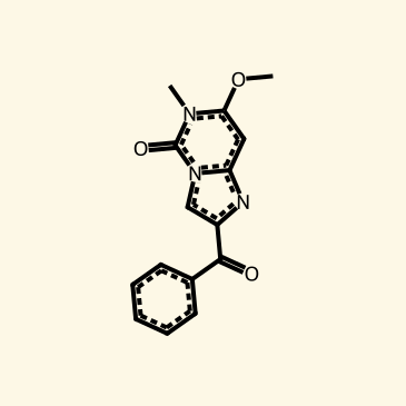 COc1cc2nc(C(=O)c3ccccc3)cn2c(=O)n1C